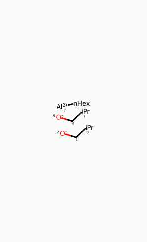 CC(C)C[O-].CC(C)C[O-].CCCCC[CH2][Al+2]